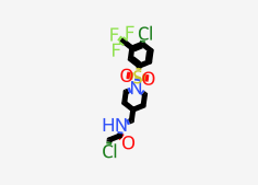 O=C(CCl)NCC1CCN(S(=O)(=O)c2ccc(Cl)c(C(F)(F)F)c2)CC1